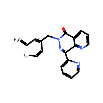 C=C/C=C(\C=C/C)Cn1nc(-c2ccccn2)c2ncccc2c1=O